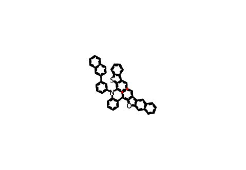 c1cc(-c2ccc3ccccc3c2)cc(N(c2ccccc2-c2cccc3c2oc2cc4ccccc4cc23)c2cccc3c2sc2ccccc23)c1